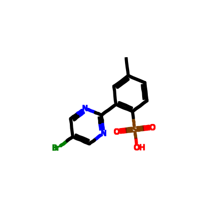 Cc1ccc(S(=O)(=O)O)c(-c2ncc(Br)cn2)c1